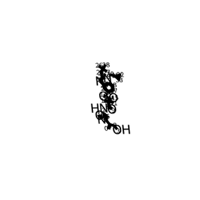 C=C(CO)c1cc(NC(=O)C(C)(C)S(=O)(=O)c2ccc3c(c2)nc(CC(C)(C)C)n3CC2CC2)on1